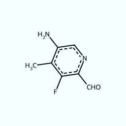 Cc1c(N)cnc(C=O)c1F